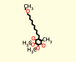 CCOCCCCCCCCCCC1=C(C)C(=O)C(OC)=C(OC)C1=O